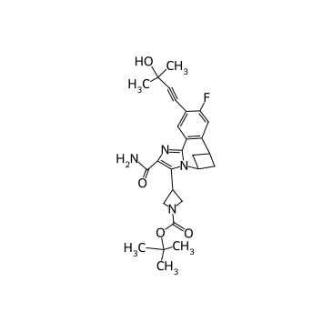 CC(C)(O)C#Cc1cc2c(cc1F)C1CC(C1)n1c-2nc(C(N)=O)c1C1CN(C(=O)OC(C)(C)C)C1